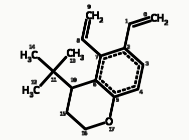 C=Cc1ccc2c(c1C=C)C(C(C)(C)C)CCO2